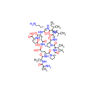 CC(C)C[C@H](NC(=O)[C@@H]1CCCN1C(=O)[C@@H](NC(=O)[C@@H]1CCCN1C(=O)[C@H](CCC(=O)O)NC(=O)[C@H](C)NC(=O)[C@H](C)N)C(C)C)C(=O)N[C@H](C(=O)N[C@@H](CCCCN)C(=O)N[C@@H](CCC(N)=O)C(=O)N[C@@H](CCC(=O)O)C(=O)O)C(C)C